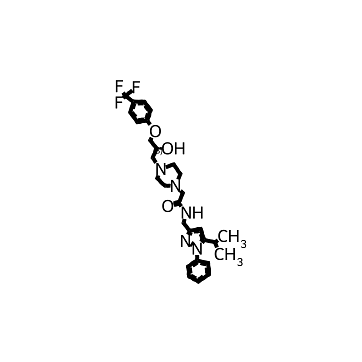 CC(C)c1cc(CNC(=O)CN2CCN(C[C@H](O)COc3ccc(C(F)(F)F)cc3)CC2)nn1-c1ccccc1